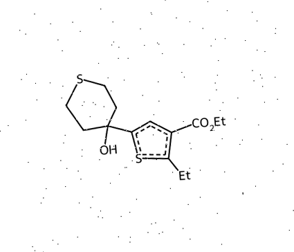 CCOC(=O)c1cc(C2(O)CCSCC2)sc1CC